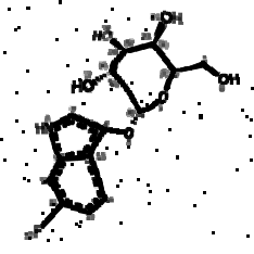 OC[C@H]1O[C@H](Oc2c[nH]c3cc(F)ccc23)[C@H](O)[C@@H](O)[C@H]1O